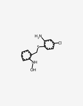 Nc1cc(Cl)ccc1SCc1ccccc1NO